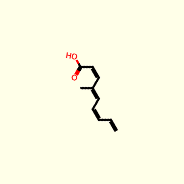 C=C\C=C/C=C(C)/C=C\C(=O)O